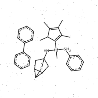 CC1=C(C)C(C)[C]([Hf]([CH3])([NH]C23CC4C(C2)C4C3)[SiH2]c2ccccc2)=C1C.c1ccc(-c2ccccc2)cc1